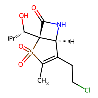 CC1=C(CCCl)[C@@H]2NC(=O)[C@]2([C@@H](O)C(C)C)S1(=O)=O